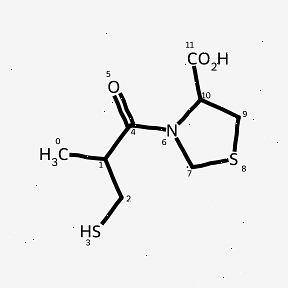 CC(CS)C(=O)N1[CH]SCC1C(=O)O